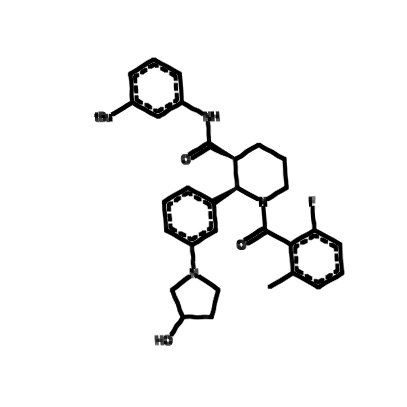 Cc1cccc(F)c1C(=O)N1CCC[C@H](C(=O)Nc2cccc(C(C)(C)C)c2)[C@@H]1c1cccc(N2CCC(O)C2)c1